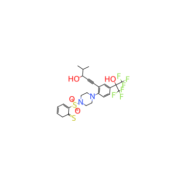 CC(C)C(O)C#Cc1cc(C(O)(C(F)(F)F)C(F)(F)F)ccc1N1CCN(S(=O)(=O)C2=CC=CCC2=S)CC1